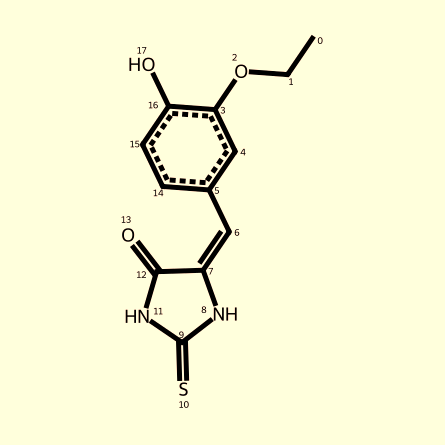 CCOc1cc(/C=C2/NC(=S)NC2=O)ccc1O